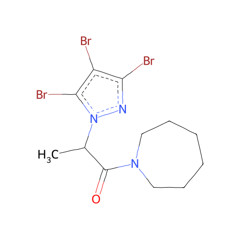 CC(C(=O)N1CCCCCC1)n1nc(Br)c(Br)c1Br